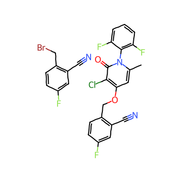 Cc1cc(OCc2ccc(F)cc2C#N)c(Cl)c(=O)n1-c1c(F)cccc1F.N#Cc1cc(F)ccc1CBr